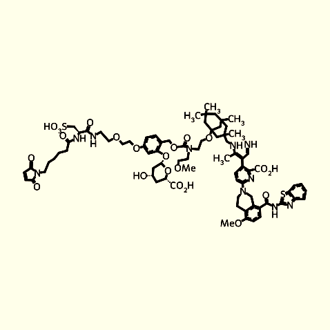 COCCN(CCOC12CC(C)(C)CC(C)(CC(C)(CN/C(C)=C(\C=N)c3ccc(N4CCc5c(OC)ccc(C(=O)Nc6nc7ccccc7s6)c5C4)nc3C(=O)O)C1)C2)C(=O)OCc1ccc(OCCOCCNC(=O)[C@H](CS(=O)(=O)O)NC(=O)CCCCCN2C(=O)C=CC2=O)cc1O[C@H]1C[C@@H](O)C[C@@H](C(=O)O)O1